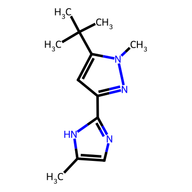 Cc1cnc(-c2cc(C(C)(C)C)n(C)n2)[nH]1